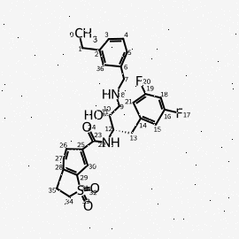 CCc1cccc(CNC[C@@H](O)[C@H](Cc2cc(F)cc(F)c2)NC(=O)c2ccc3c(c2)S(=O)(=O)CC3)c1